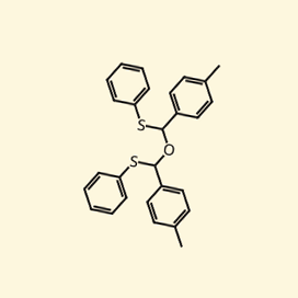 Cc1ccc(C(OC(Sc2ccccc2)c2ccc(C)cc2)Sc2ccccc2)cc1